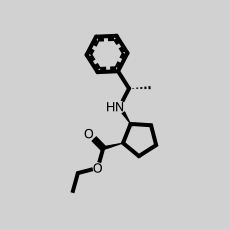 CCOC(=O)[C@@H]1CCC[C@@H]1N[C@@H](C)c1ccccc1